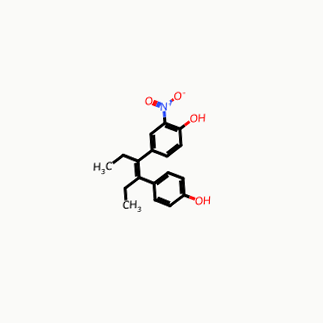 CCC(=C(CC)c1ccc(O)c([N+](=O)[O-])c1)c1ccc(O)cc1